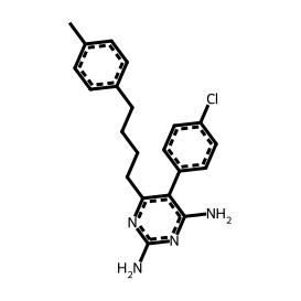 Cc1ccc(CCCCc2nc(N)nc(N)c2-c2ccc(Cl)cc2)cc1